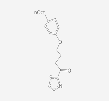 CCCCCCCCc1ccc(OCCCC(=O)c2nccs2)cc1